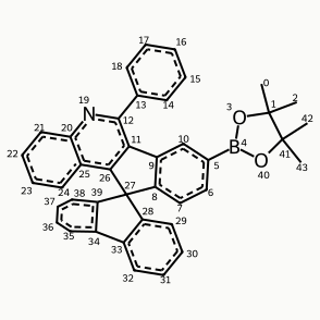 CC1(C)OB(c2ccc3c(c2)-c2c(-c4ccccc4)nc4ccccc4c2C32c3ccccc3-c3ccccc32)OC1(C)C